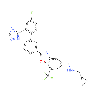 Cn1cnnc1-c1cc(F)ccc1-c1cccc(-c2nc3cc(CNCC4CC4)cc(C(F)(F)F)c3o2)c1